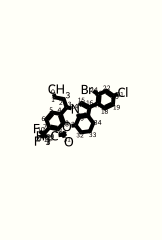 CCCC(c1ccc(C(F)(F)F)cc1)n1cc(-c2ccc(Cl)cc2Br)c2c1C(OC(C)=O)CCC2